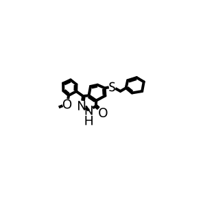 COc1ccccc1-c1n[nH]c(=O)c2cc(SCC3=CCCC=C3)ccc12